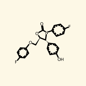 O=C1O[C@H](COc2ccc(F)cc2)[C@@H](c2ccc(O)cc2)N1c1ccc(F)cc1